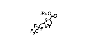 CC(C)COC(=O)C(CC(C)C)SCCC(F)(F)C(F)(F)F